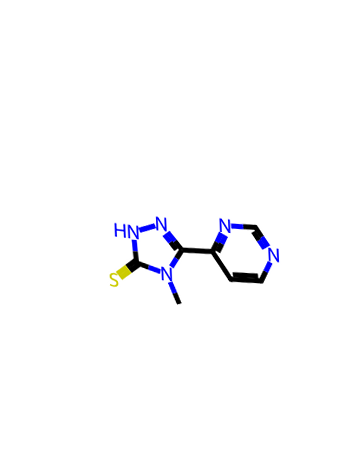 Cn1c(-c2ccncn2)n[nH]c1=S